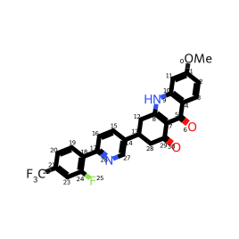 COc1ccc2c(=O)c3c([nH]c2c1)CC(c1ccc(-c2ccc(C(F)(F)F)cc2F)nc1)CC3=O